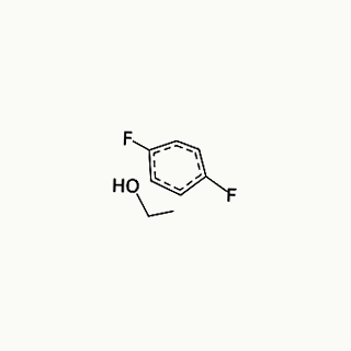 CCO.Fc1ccc(F)cc1